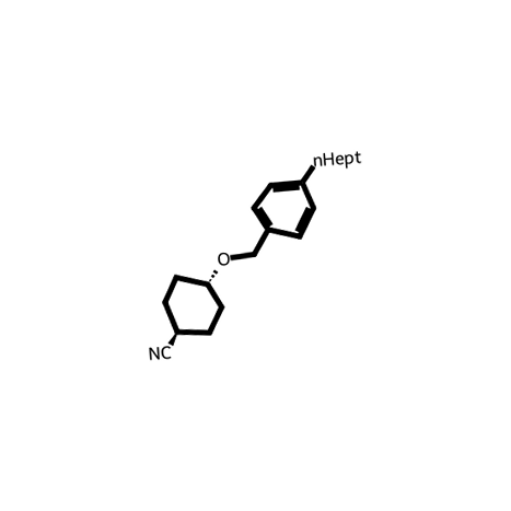 CCCCCCCc1ccc(CO[C@H]2CC[C@H](C#N)CC2)cc1